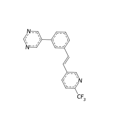 FC(F)(F)c1ccc(/C=C/c2cccc(-c3cncnc3)c2)cn1